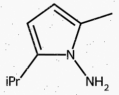 Cc1ccc(C(C)C)n1N